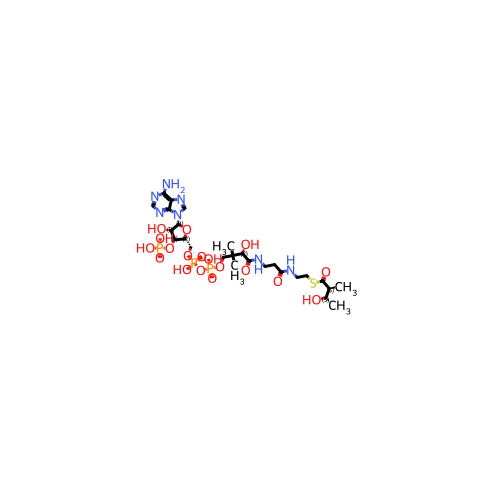 C[C@H](O)[C@H](C)C(=O)SCCNC(=O)CCNC(=O)[C@H](O)C(C)(C)COP(=O)(O)OP(=O)(O)OC[C@H]1O[C@@H](n2cnc3c(N)ncnc32)[C@H](O)[C@@H]1OP(=O)(O)O